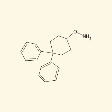 NOC1CCC(c2ccccc2)(c2ccccc2)CC1